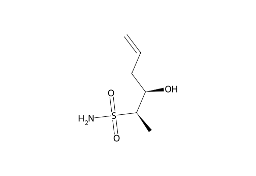 C=CC[C@@H](O)[C@@H](C)S(N)(=O)=O